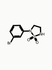 O=S1(=O)NCCN1c1cccc(Br)c1